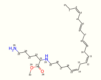 CC/C=C\CC=CCC=CC/C=C\C/C=C\CCCCNC(CCCCN)C(=O)OC